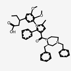 CCC(CC(=O)O)c1cc(OC)c(OC)c(-n2c(C)cc(C(=O)N3CCN(Cc4ccccc4)C[C@H]3Cc3ccccc3)c2-c2ccccc2)c1